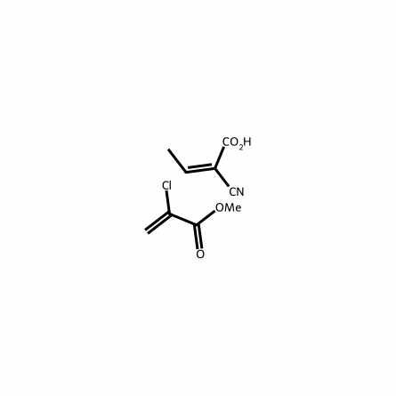 C=C(Cl)C(=O)OC.CC=C(C#N)C(=O)O